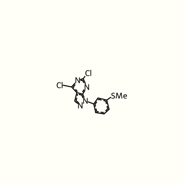 CSc1cccc(-n2ncc3c(Cl)nc(Cl)nc32)c1